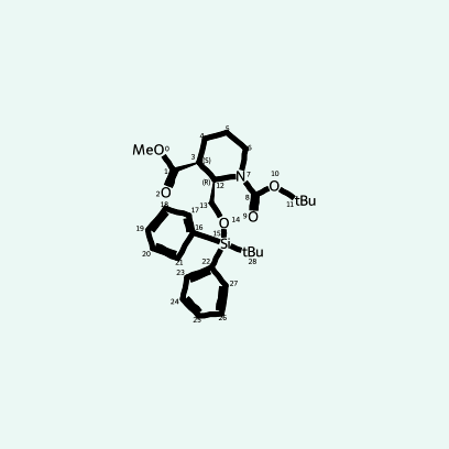 COC(=O)[C@H]1CCCN(C(=O)OC(C)(C)C)[C@H]1CO[Si](c1ccccc1)(c1ccccc1)C(C)(C)C